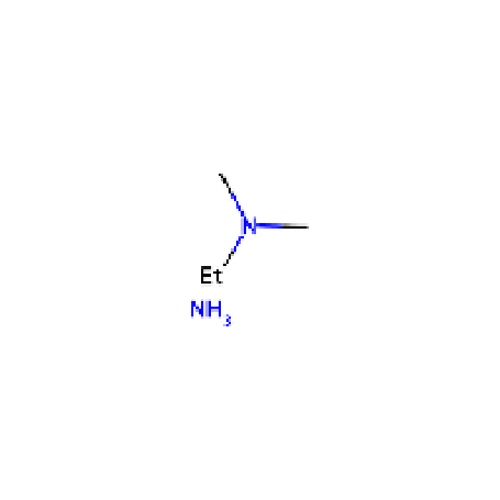 CCN(C)C.N